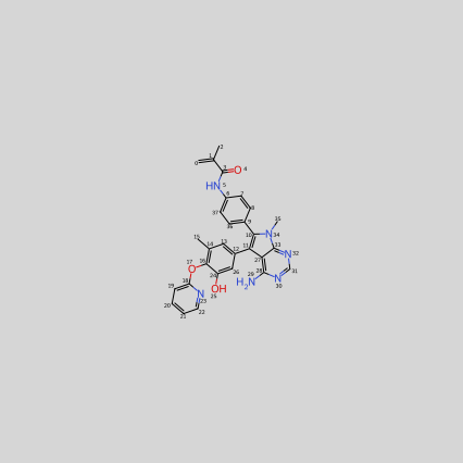 C=C(C)C(=O)Nc1ccc(-c2c(-c3cc(C)c(Oc4ccccn4)c(O)c3)c3c(N)ncnc3n2C)cc1